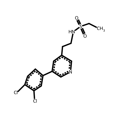 CCS(=O)(=O)NCCc1cncc(-c2ccc(Cl)c(Cl)c2)c1